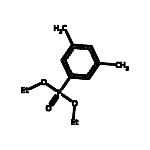 CCOP(=O)(OCC)c1cc(C)cc(C)c1